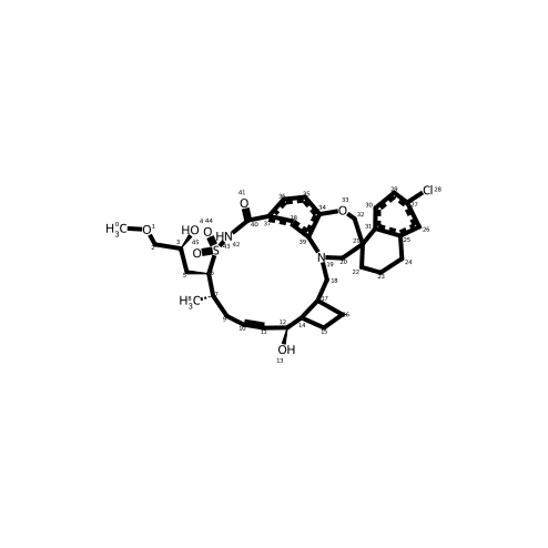 COC[C@@H](O)C[C@@H]1[C@@H](C)C/C=C/[C@H](O)C2CCC2CN2CC3(CCCc4cc(Cl)ccc43)COc3ccc(cc32)C(=O)NS1(=O)=O